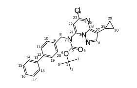 CC(C)(C)OC(=O)N(Cc1ccc(-c2ccccc2)cc1)c1cc(Cl)nc2c(C3CC3)cnn12